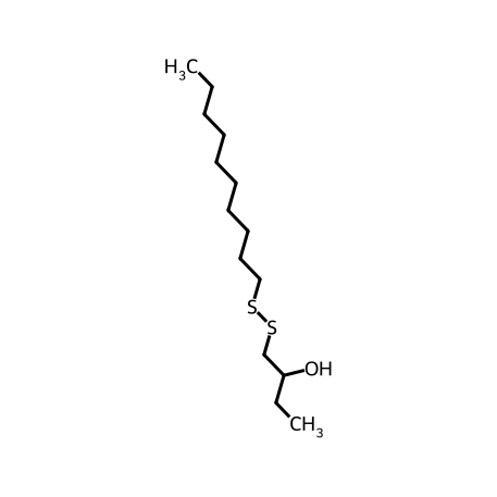 CCCCCCCCCCSSCC(O)CC